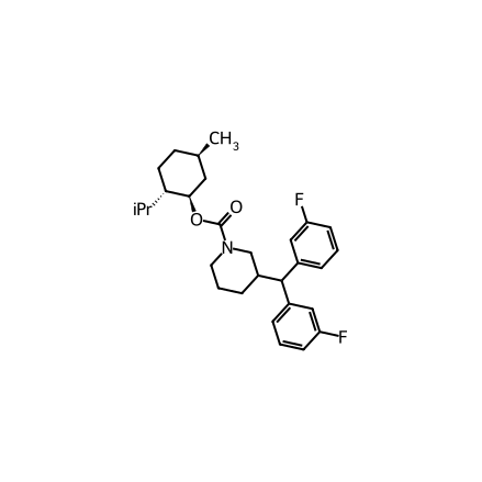 CC(C)[C@@H]1CC[C@@H](C)C[C@H]1OC(=O)N1CCCC(C(c2cccc(F)c2)c2cccc(F)c2)C1